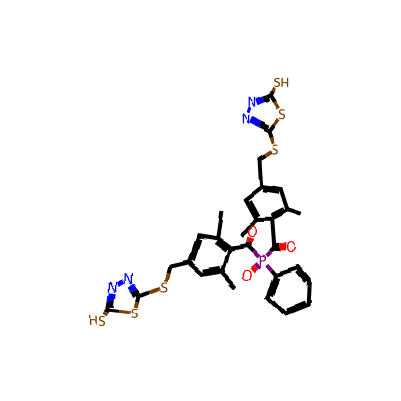 Cc1cc(CSc2nnc(S)s2)cc(C)c1C(=O)P(=O)(C(=O)c1c(C)cc(CSc2nnc(S)s2)cc1C)c1ccccc1